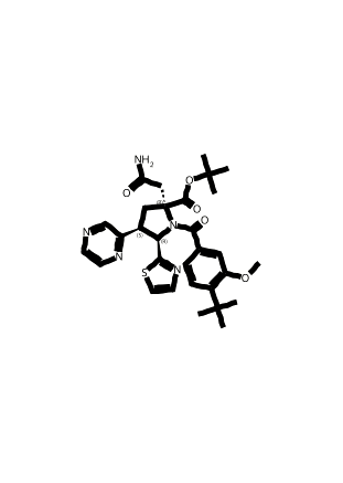 COc1cc(C(=O)N2[C@@H](c3nccs3)[C@@H](c3cnccn3)C[C@@]2(CC(N)=O)C(=O)OC(C)(C)C)ccc1C(C)(C)C